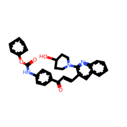 O=C(Nc1ccc(C(=O)/C=C/c2cc3ccccc3nc2N2CCC(O)CC2)cc1)Oc1ccccc1